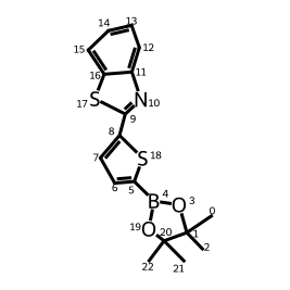 CC1(C)OB(c2ccc(-c3nc4ccccc4s3)s2)OC1(C)C